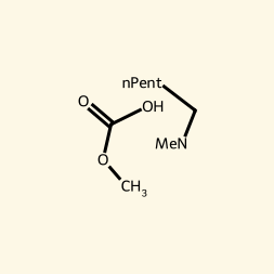 CCCCCCNC.COC(=O)O